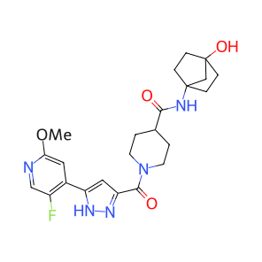 COc1cc(-c2cc(C(=O)N3CCC(C(=O)NC45CCC(O)(CC4)C5)CC3)n[nH]2)c(F)cn1